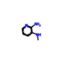 CNc1cccnc1N